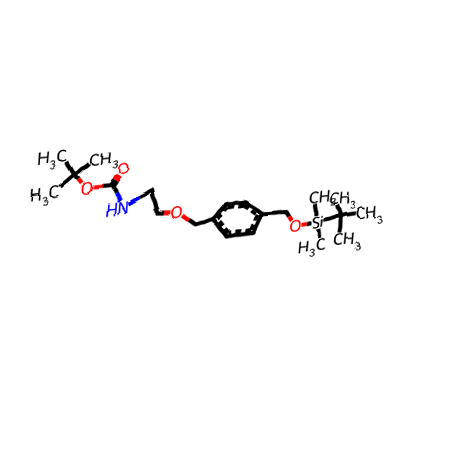 CC(C)(C)OC(=O)NCCOCc1ccc(CO[Si](C)(C)C(C)(C)C)cc1